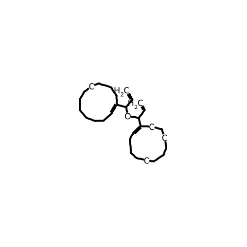 C=CC(OC(C=C)C1=CCCCCCCCCCC1)C1=CCCCCCCCCCC1